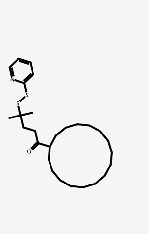 CC(C)(CCC(=O)C1CCCCCCCCCCCCCCC1)SSc1ccccn1